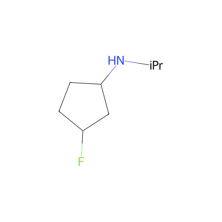 CC(C)NC1CCC(F)C1